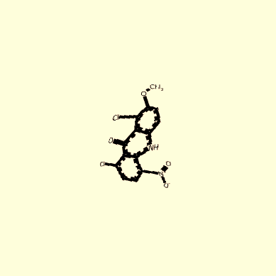 COc1ccc2[nH]c3c([N+](=O)[O-])ccc(Cl)c3c(=O)c2c1Cl